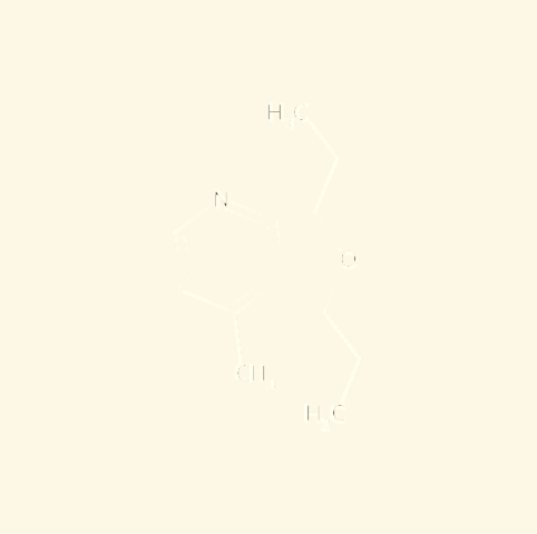 CCCOCCC.Cc1ccncc1